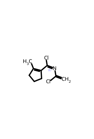 C=C(Cl)/N=C(/Cl)C1=C(C)CCC1